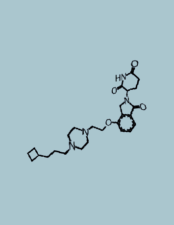 O=C1CCC(N2Cc3c(OCCN4CCN(CCCC5CCC5)CC4)cccc3C2=O)C(=O)N1